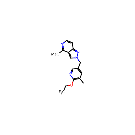 COc1nccc2nn(Cc3cnc(OCC(F)(F)F)c(C)c3)cc12